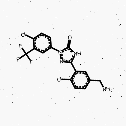 NCc1ccc(Cl)c(-c2nn(-c3ccc(Cl)c(C(F)(F)F)c3)c(=O)[nH]2)c1